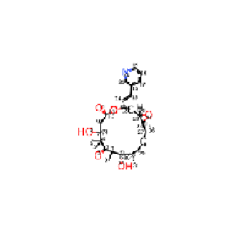 CC1C(=O)C(C)(C)[C@@H](O)CC(=O)O[C@H](C=Cc2cccnc2)C[C@@H]2O[C@@]2(C)CCC[C@H](C)[C@@H]1O